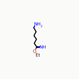 CCOC(=N)CCCCCN